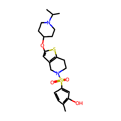 Cc1ccc(S(=O)(=O)N2CCc3sc(OC4CCN(C(C)C)CC4)cc3C2)cc1O